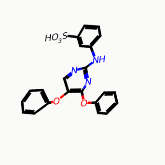 O=S(=O)(O)c1cccc(Nc2ncc(Oc3ccccc3)c(Oc3ccccc3)n2)c1